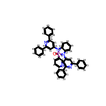 O=P1(c2cccnc2)N(c2cc(-c3ccccc3)nc(-c3ccccc3)c2)c2ccccc2N1c1cc(-c2ccccc2)nc(-c2ccccc2)c1